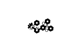 CC1(C)N=C(c2cccc(-c3cc4c5c(c3)Oc3ccccc3B5c3ccccc3O4)n2)N(c2ccccc2)C1(C)C